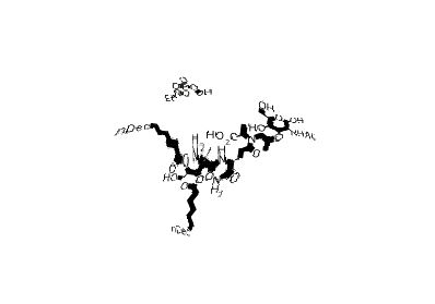 CCCCCCCCCCCCCCCC(=O)OC([C@H](CO)OC(=O)CCCCCCCCCCCCCCC)[C@@](C)(N)C(=O)N[C@H](CCC(=O)N(CC(C)O[C@H]1[C@H](O)[C@@H](CO)O[C@H](O)[C@@H]1NC(C)=O)[C@@H](C)C(=O)O)C(N)=O.CCN1OP(=O)(OO)O1